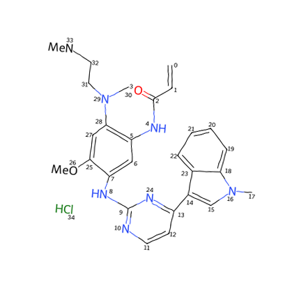 C=CC(=O)Nc1cc(Nc2nccc(-c3cn(C)c4ccccc34)n2)c(OC)cc1N(C)CCNC.Cl